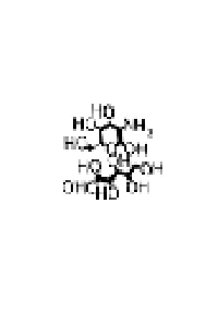 N[C@H]1C(O)O[C@H](CO)[C@H](O)[C@@H]1O.O=CC(O)C(O)C(O)C(O)CO